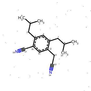 CC(C)Cc1cc(CC(C)C)c(CC#N)cc1C#N